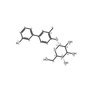 CC(=O)c1cccc(-c2ccc(O[C@H]3OC(CO)[C@@H](O)C(O)C3O)c(C)c2)c1